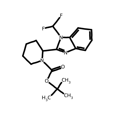 CC(C)(C)OC(=O)N1CCCCC1c1nc2ccccc2n1C(F)F